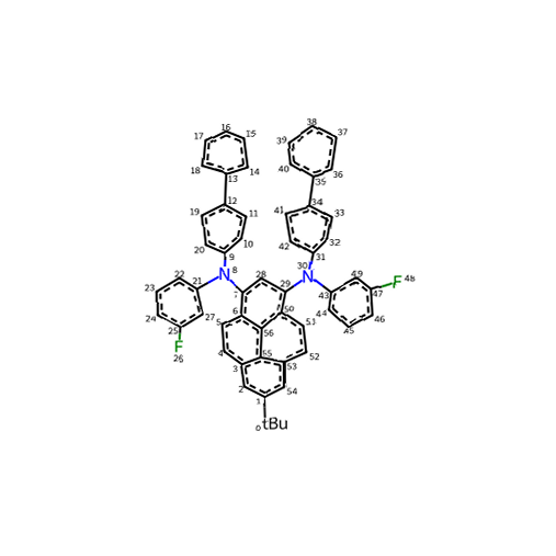 CC(C)(C)c1cc2ccc3c(N(c4ccc(-c5ccccc5)cc4)c4cccc(F)c4)cc(N(c4ccc(-c5ccccc5)cc4)c4cccc(F)c4)c4ccc(c1)c2c34